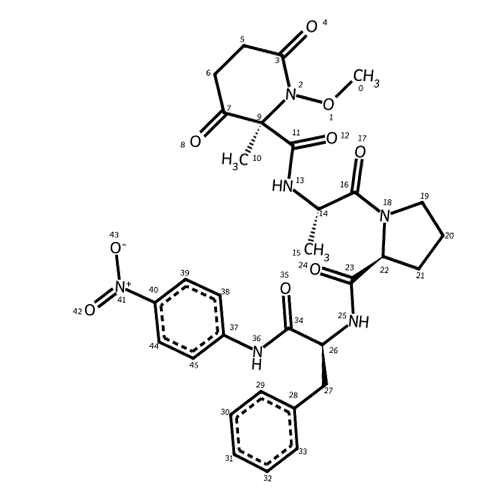 CON1C(=O)CCC(=O)[C@]1(C)C(=O)N[C@@H](C)C(=O)N1CCC[C@H]1C(=O)N[C@@H](Cc1ccccc1)C(=O)Nc1ccc([N+](=O)[O-])cc1